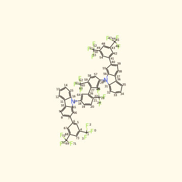 FC(F)(F)c1cc(-c2ccc3c4ccccc4n(-c4ccc(C(F)(F)F)c(-c5cc(-n6c7ccccc7c7ccc(-c8cc(C(F)(F)F)cc(C(F)(F)F)c8)cc76)ccc5C(F)(F)F)c4)c3c2)cc(C(F)(F)F)c1